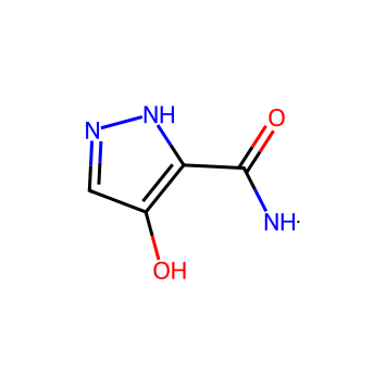 [NH]C(=O)c1[nH]ncc1O